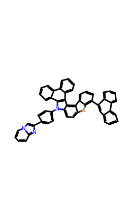 c1ccc2c(c1)cc(-c1cccc3c1sc1ccc4c(c13)c1c3ccccc3c3ccccc3c1n4-c1ccc(-c3cn4ccccc4n3)cc1)c1ccccc12